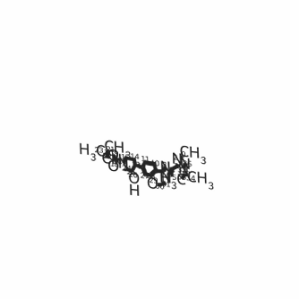 Cc1nc(-c2cn3c(n2)-c2ccc(C4CCN(C(=O)OC(C)(C)C)CC4O)cc2OCC3)n(C(C)C)n1